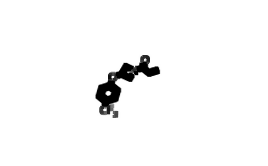 C=CC(=O)N1CC(Oc2ccc(C(F)(F)F)cc2)C1